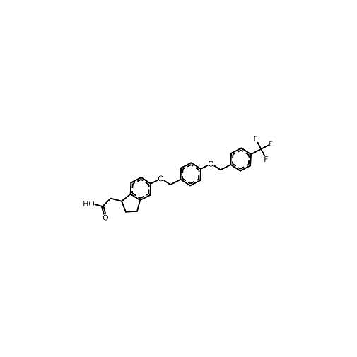 O=C(O)CC1CCc2cc(OCc3ccc(OCc4ccc(C(F)(F)F)cc4)cc3)ccc21